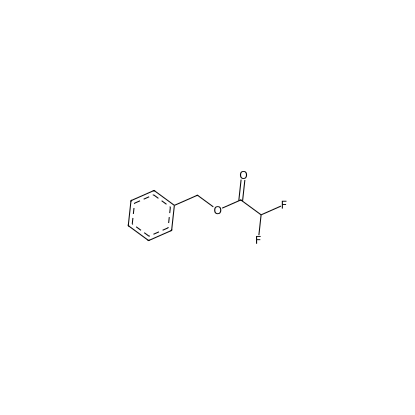 O=C(OCc1ccccc1)C(F)F